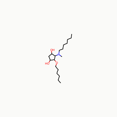 CCCCCCCN(C)C1C(O)CC(O)C1OCCCCCC